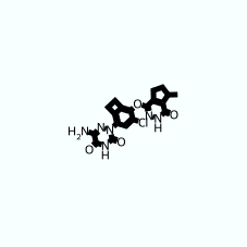 CC1CCc2c(Oc3c(Cl)cc(-n4nc(N)c(=O)[nH]c4=O)c4c3CC4)n[nH]c(=O)c21